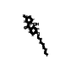 CCCCCCCCOc1ccc(C(=O)c2cccc(C)c2)c(O)c1